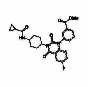 COC(=O)c1cccc(-n2c(=O)n(C3CCC(NC(=O)C4CC4)CC3)c(=O)c3cc(F)cnc32)c1